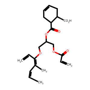 C=CC(=O)OCC(CO/C(C=C)=C(C)/C=C\C)OC(=O)C1CC=CCC1C(=O)O